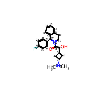 CN(C)[C@H]1C[C@@H]([C@@H](O)C(=O)N2CCc3ccccc3[C@@H]2c2ccc(F)cc2)C1